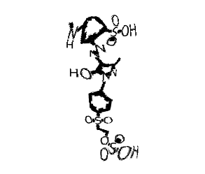 CNc1ccc(S(=O)(=O)O)c(N=Nc2c(C)nn(-c3ccc(S(=O)(=O)CCOS(=O)(=O)O)cc3)c2O)c1